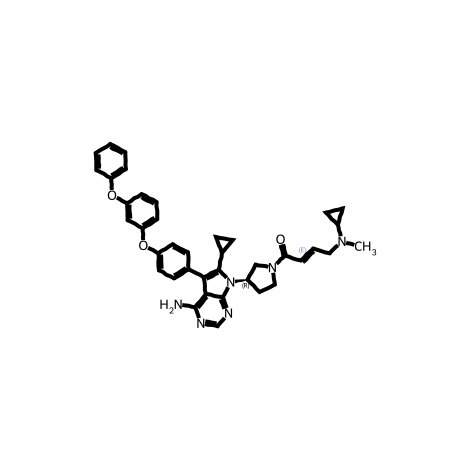 CN(C/C=C/C(=O)N1CC[C@@H](n2c(C3CC3)c(-c3ccc(Oc4cccc(Oc5ccccc5)c4)cc3)c3c(N)ncnc32)C1)C1CC1